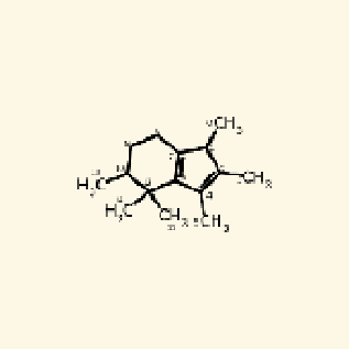 C[C]1C(C)=C(C)C2=C1CCC(C)C2(C)C